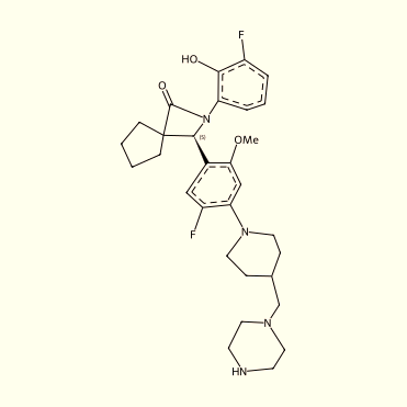 COc1cc(N2CCC(CN3CCNCC3)CC2)c(F)cc1[C@@H]1N(c2cccc(F)c2O)C(=O)C12CCCC2